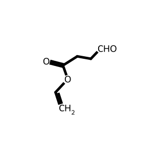 C=COC(=O)CCC=O